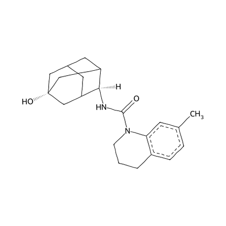 Cc1ccc2c(c1)N(C(=O)N[C@H]1C3CC4CC1C[C@](O)(C4)C3)CCC2